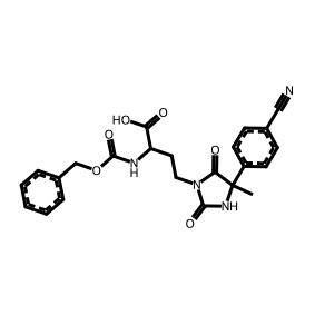 CC1(c2ccc(C#N)cc2)NC(=O)N(CCC(NC(=O)OCc2ccccc2)C(=O)O)C1=O